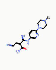 CCN1CCN(c2ccc(NC(=N)/C(=C/C=N)C(N)=O)cn2)CC1